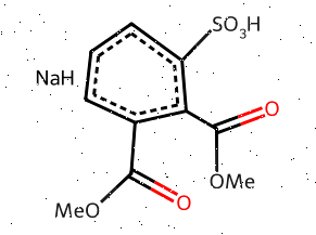 COC(=O)c1cccc(S(=O)(=O)O)c1C(=O)OC.[NaH]